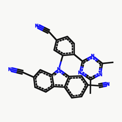 Cc1nc(C)nc(-c2ccc(C#N)cc2-n2c3cc(C#N)ccc3c3ccc(C#N)cc32)n1